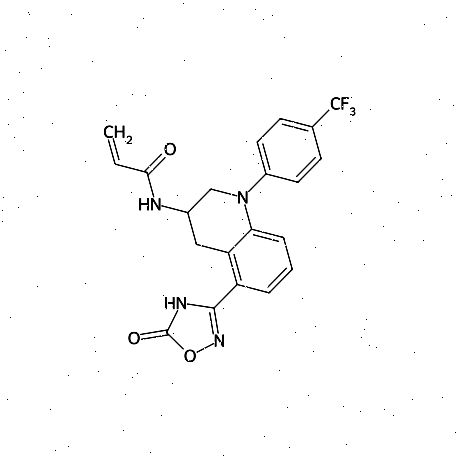 C=CC(=O)NC1Cc2c(-c3noc(=O)[nH]3)cccc2N(c2ccc(C(F)(F)F)cc2)C1